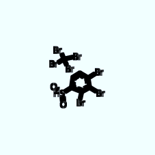 BrC(Br)(Br)Br.O=[SH](=O)c1ccc(Br)c(Br)c1Br